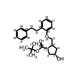 CC(C)(C)OC(=O)N1C[C@H](O)CC1COc1ccccc1CCc1ccccc1